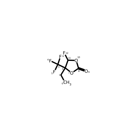 CCC1(C(F)(F)F)OC(=O)OC1F